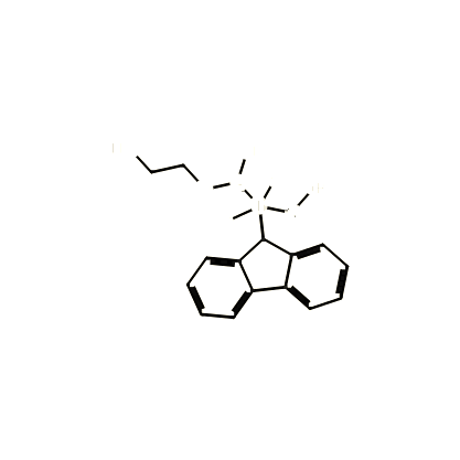 C[SiH](OCCO)[Ti]([Cl])([Cl])([NH]C(C)(C)C)[CH]1c2ccccc2-c2ccccc21